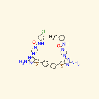 Cc1cccc(NC(=O)N2CCN(c3nc(N)nc4sc(-c5ccccc5)cc34)CC2)c1.Nc1nc(N2CCN(C(=O)Nc3ccc(Cl)cc3)CC2)c2cc(-c3ccccc3)sc2n1